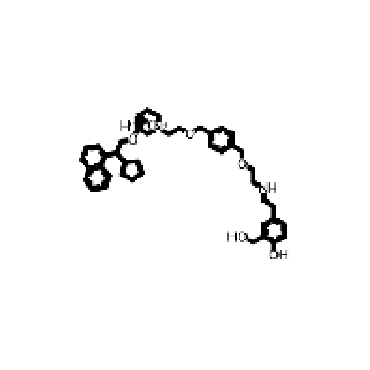 OCc1cc(CCNCCOCc2ccc(COCC[N+]34CCC(CC3)[C@H](OCC(c3cccc5ccccc35)C3CCCC3)C4)cc2)ccc1O